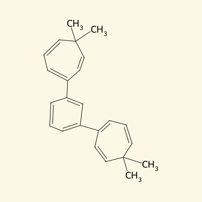 CC1(C)C=CC=C(c2cccc(C3=CC=CC(C)(C)C=C3)c2)C=C1